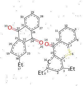 CCc1cc(CC)c2sc3ccccc3c(=O)c2c1.CCc1ccc2c(c1)C(=O)c1ccccc1C2=O